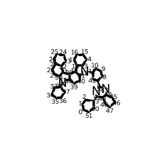 c1ccc(-c2nc(-c3cccc(-n4c5ccccc5c5c6c7c8ccccc8ccc7n(-c7ccccc7)c6ccc54)c3)nc3ccccc23)cc1